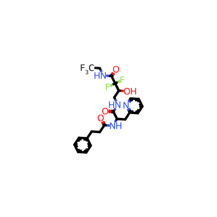 O=C(CCc1ccccc1)NC(Cc1ccccn1)C(=O)NCC(O)C(F)(F)C(=O)NCC(F)(F)F